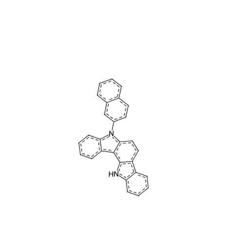 c1ccc2cc(-n3c4ccccc4c4c5[nH]c6ccccc6c5ccc43)ccc2c1